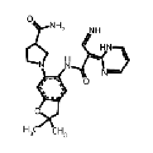 CC1(C)Cc2cc(NC(=O)/C(C=N)=C3\N=CC=CN3)c(N3CCC(C(N)=O)C3)cc2O1